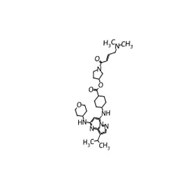 CC(C)c1cnn2c(NC3CCC(C(=O)OC4CCN(C(=O)/C=C/CN(C)C)C4)CC3)cc(NC3CCOCC3)nc12